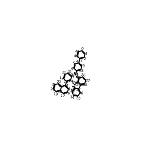 c1ccc(-c2ccc(N(c3cccc(-c4cccc5ccccc45)c3)c3cccc4c3sc3ccccc34)cc2)cc1